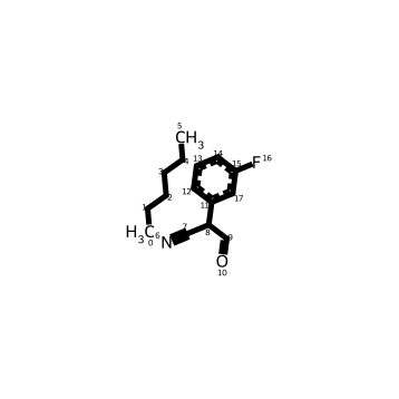 CCCCCC.N#CC(C=O)c1cccc(F)c1